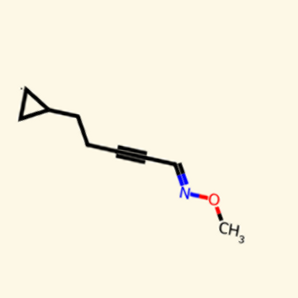 CON=CC#CCCC1[CH]C1